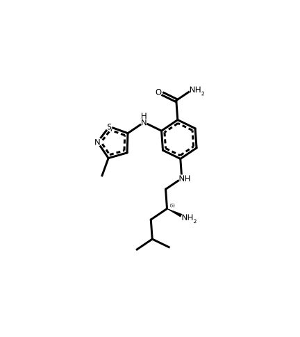 Cc1cc(Nc2cc(NC[C@@H](N)CC(C)C)ccc2C(N)=O)sn1